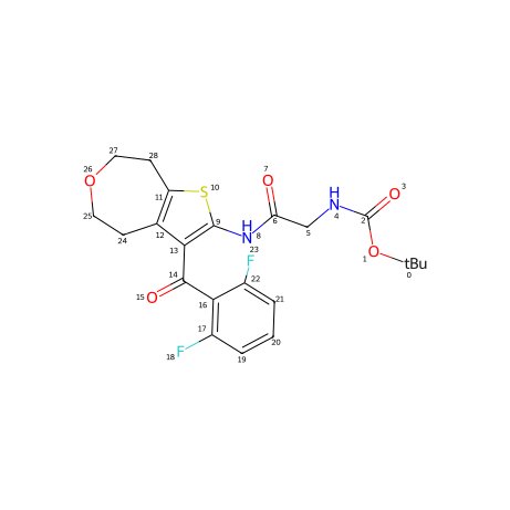 CC(C)(C)OC(=O)NCC(=O)Nc1sc2c(c1C(=O)c1c(F)cccc1F)CCOCC2